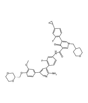 COc1cc(-c2cnc(N)c(-c3ccc(NC(=O)c4cn(CC5CCOCC5)cc(-c5ccc(C6CC6)cc5F)c4=O)cc3F)c2)ccc1OC[C@H]1COCCO1